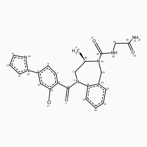 C[C@@H]1CN(C(=O)c2ccc(-n3cccn3)cc2Cl)c2ccccc2CN1C(=O)NCC(N)=O